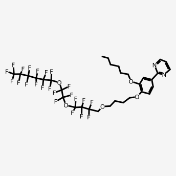 CCCCCCOc1cc(-c2ncccn2)ccc1OCCCCOCC(F)(F)C(F)(F)C(F)(F)OC(F)(F)C(F)(F)OC(F)(F)C(F)(F)C(F)(F)C(F)(F)C(F)(F)C(F)(F)F